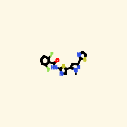 Cn1nc(-c2nccs2)cc1-c1cnc(NC(=O)c2c(F)cccc2F)s1